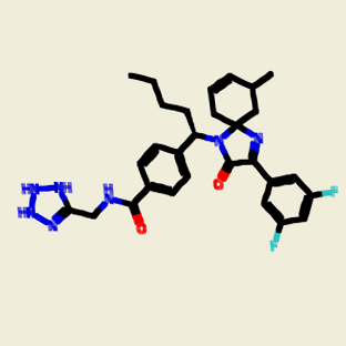 CCCC[C@H](c1ccc(C(=O)NCC2=NNNN2)cc1)N1C(=O)C(c2cc(F)cc(F)c2)=NC12CC=CC(C)C2